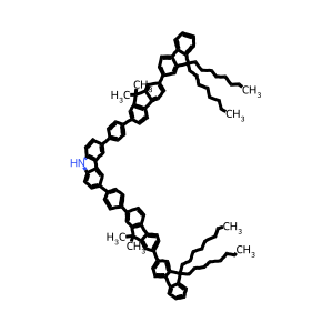 CCCCCCCCC1(CCCCCCCC)c2ccccc2-c2ccc(-c3ccc4c(c3)C(C)(C)c3cc(-c5ccc(-c6ccc7[nH]c8ccc(-c9ccc(-c%10ccc%11c(c%10)C(C)(C)c%10cc(-c%12ccc%13c(c%12)C(CCCCCCCC)(CCCCCCCC)c%12ccccc%12-%13)ccc%10-%11)cc9)cc8c7c6)cc5)ccc3-4)cc21